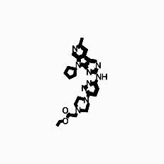 CCOC(=O)CN1CCN(c2ccc(Nc3ncc4c5cc(C)ncc5n(C5CCCC5)c4n3)nn2)CC1